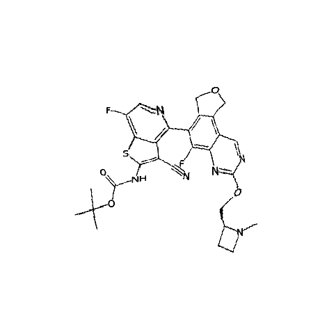 CN1CC[C@H]1COc1ncc2c3c(c(-c4ncc(F)c5sc(NC(=O)OC(C)(C)C)c(C#N)c45)c(F)c2n1)COC3